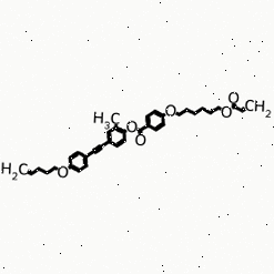 C=CCCCOc1ccc(C#Cc2ccc(OC(=O)c3ccc(OCCCCCCOC(=O)C=C)cc3)c(C)c2)cc1